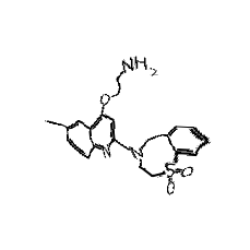 Cc1ccc2nc(N3CCS(=O)(=O)c4ccccc4C3)cc(OCCN)c2c1